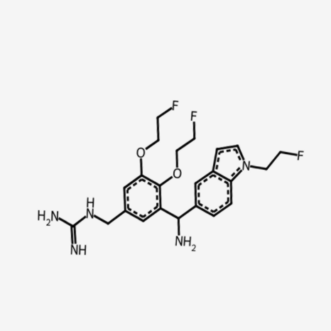 N=C(N)NCc1cc(OCCF)c(OCCF)c(C(N)c2ccc3c(ccn3CCF)c2)c1